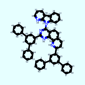 c1ccc(-c2cc(-c3ccccc3)cc(-c3ccc4ccc5c(-n6c7ccccc7c7cccnc76)nc(-c6cc(-c7ccccc7)cc(-c7ccccc7)c6)nc5c4n3)c2)cc1